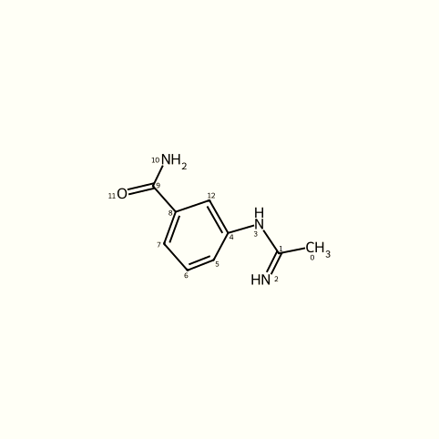 CC(=N)Nc1cccc(C(N)=O)c1